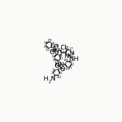 Nc1ccc(S(=O)(=O)Nc2cccc(Nc3ncc(Cl)c(-c4cn(S(=O)(=O)c5ccccc5)c5ccccc45)n3)c2)cc1